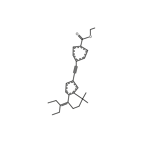 CCOC(=O)c1ccc(C#Cc2ccc3c(c2)C(C)(C)CCC3=C(CC)CC)cc1